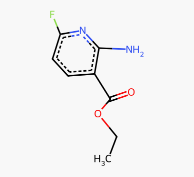 CCOC(=O)c1ccc(F)nc1N